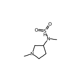 CN1CCC(N(C)[SH](=O)=O)C1